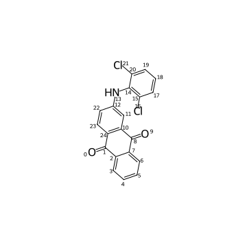 O=C1c2ccccc2C(=O)c2cc(Nc3c(Cl)cccc3Cl)ccc21